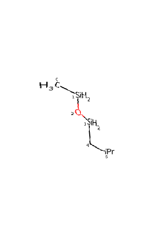 C[SiH2]O[SiH2]CC(C)C